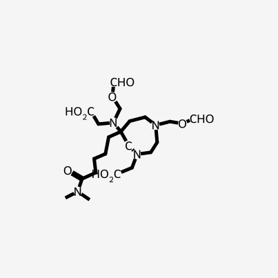 CN(C)C(=O)CCCCC1(N(COC=O)CC(=O)O)CCN(COC=O)CCN(CC(=O)O)C1